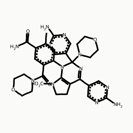 Cc1cc(N2C3=C(CCN3C(=O)O)C(c3cnc(N)nc3)=NC2(c2cnc(N)nc2)N2CCOCC2)c(C(=O)N2CCOCC2)cc1C(N)=O